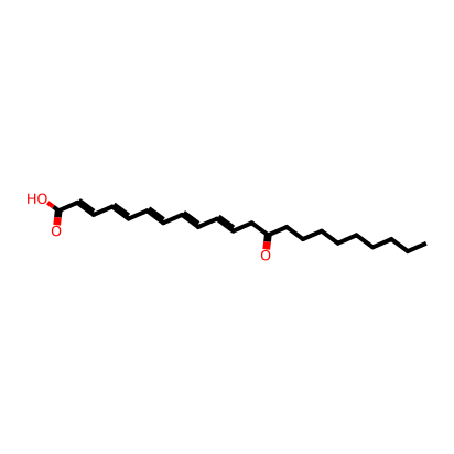 CCCCCCCCCC(=O)CC=CC=CC=CC=CC=CC(=O)O